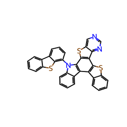 c1ccc2c(c1)sc1c(-n3c4ccccc4c4c5c6ccccc6sc5c5c6ncncc6sc5c43)cccc12